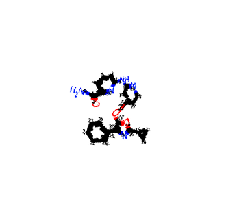 NC(=O)c1cccc(Nc2cc(Oc3oc(C4CC4)nc3-c3ccccc3)ccn2)n1